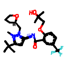 Cn1c(C(C)(C)C)c/c(=N\C(=O)c2cc(C(F)(F)F)ccc2OCC(C)(C)O)n1C[C@H]1CCCO1